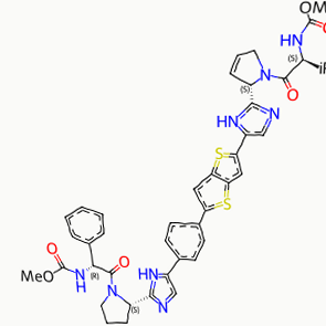 COC(=O)N[C@H](C(=O)N1CC=C[C@H]1c1ncc(-c2cc3sc(-c4ccc(-c5cnc([C@@H]6CCCN6C(=O)[C@H](NC(=O)OC)c6ccccc6)[nH]5)cc4)cc3s2)[nH]1)C(C)C